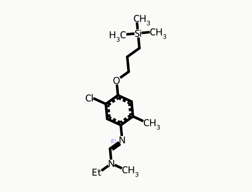 CCN(C)/C=N/c1cc(Cl)c(OCCC[Si](C)(C)C)cc1C